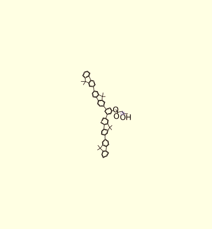 C/C(O)=C/C(=O)Oc1cc(-c2ccc3c(c2)C(C)(C)c2cc(-c4ccc5c(c4)C(C)(C)c4ccccc4-5)ccc2-3)cc(-c2ccc3c(c2)C(C)(C)c2cc(-c4ccc5c(c4)C(C)(C)c4ccccc4-5)ccc2-3)c1